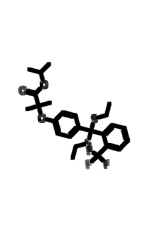 CCSC(SCC)(c1ccc(OC(C)(C)C(=O)OC(C)C)cc1)c1ccccc1C(F)(F)F